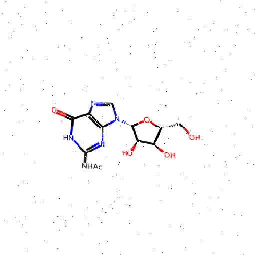 CC(=O)Nc1nc2c(ncn2[C@@H]2O[C@H](CO)[C@@H](O)[C@H]2O)c(=O)[nH]1